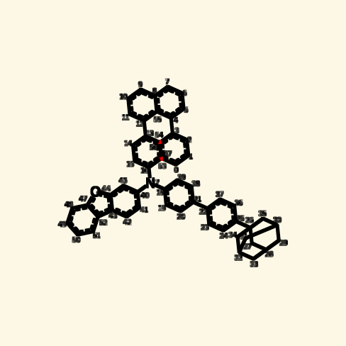 c1ccc(-c2cccc3cccc(-c4ccc(N(c5ccc(-c6ccc(C78CC9CC(CC(C9)C7)C8)cc6)cc5)c5ccc6c(c5)oc5ccccc56)cc4)c23)cc1